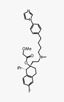 COCC(=O)O[C@]1(CCN(C)CCCCc2ccc(-n3ccnc3)cc2)CCc2cc(F)ccc2[C@@H]1C(C)C